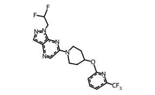 FC(F)Cn1ncc2ncc(N3CCC(Oc4cccc(C(F)(F)F)n4)CC3)nc21